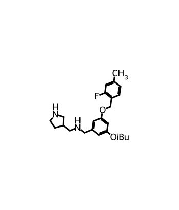 Cc1ccc(COc2cc(CNCC3CCNC3)cc(OCC(C)C)c2)c(F)c1